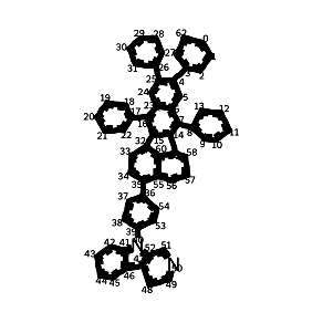 c1ccc(-c2cc3c(-c4ccccc4)c4c(c(-c5ccccc5)c3cc2-c2ccccc2)-c2ccc(-c3ccc(-n5c6ccccc6c6ccncc65)cc3)c3cccc-4c23)cc1